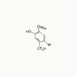 COc1cc(C(C)C)c(C(=O)O)cc1O